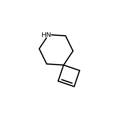 C1=CC2(C1)CCNCC2